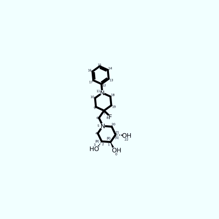 O[C@H]1[C@H](O)CN(CC2(F)CCN(c3ccccc3)CC2)C[C@@H]1O